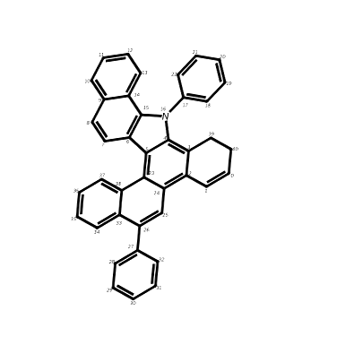 C1=Cc2c(c3c(c4ccc5ccccc5c4n3-c3ccccc3)c3c2cc(-c2ccccc2)c2ccccc23)CC1